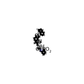 Cc1ccc2cccc(OCc3c(Cl)ccc(N(C)C(=O)CNC(=O)/C=C/c4ccccc4[N+](=O)[O-])c3Cl)c2n1